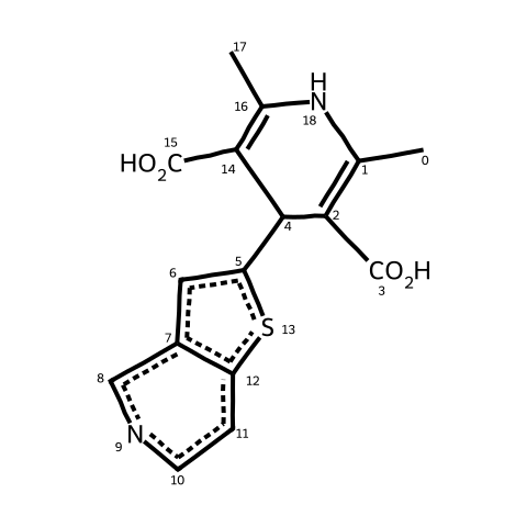 CC1=C(C(=O)O)C(c2cc3cnccc3s2)C(C(=O)O)=C(C)N1